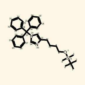 CC(C)(C)[Si](C)(C)OCCCCc1cn(C(c2ccccc2)(c2ccccc2)c2ccccc2)cn1